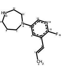 CC=Cc1cc(N2CCCNCC2)cnc1F